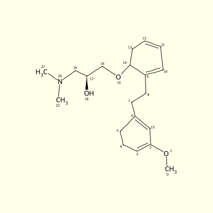 COC1=CCCC(CCC2=CC=CCC2OC[C@@H](O)CN(C)C)=C1